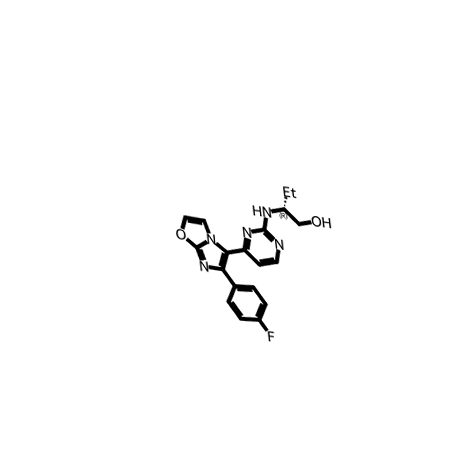 CC[C@H](CO)Nc1nccc(-c2c(-c3ccc(F)cc3)nc3occn23)n1